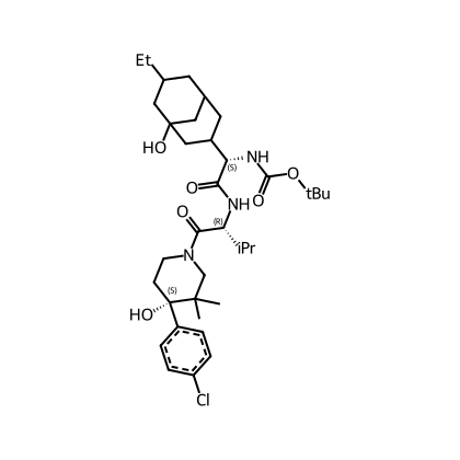 CCC1CC2CC([C@H](NC(=O)OC(C)(C)C)C(=O)N[C@@H](C(=O)N3CC[C@](O)(c4ccc(Cl)cc4)C(C)(C)C3)C(C)C)CC(O)(C1)C2